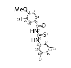 COc1ccc(C(=O)NC(=S)Nc2cc(C)cc(C)c2)cc1I